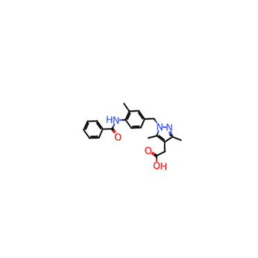 Cc1cc(Cn2nc(C)c(CC(=O)O)c2C)ccc1NC(=O)c1ccccc1